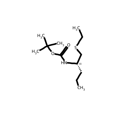 CCC[C@@H](CSCC)NC(=O)OC(C)(C)C